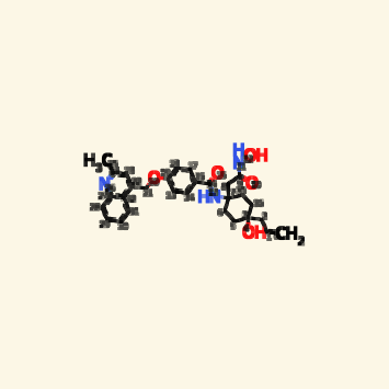 C=CC[C@]1(O)CC[C@](CC(=O)NO)(NC(=O)c2ccc(OCc3cc(C)nc4ccccc34)cc2)CC1